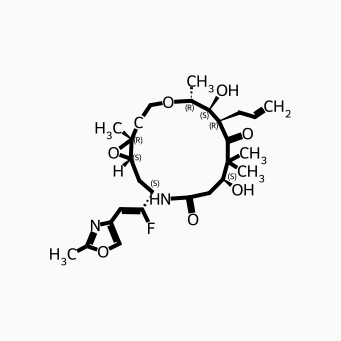 C=CC[C@H]1C(=O)C(C)(C)[C@@H](O)CC(=O)N[C@H](C(F)=Cc2coc(C)n2)C[C@@H]2O[C@]2(C)CCO[C@H](C)[C@H]1O